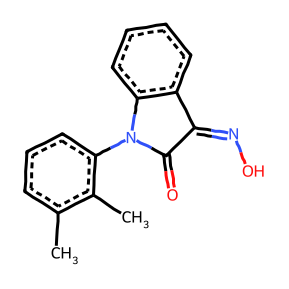 Cc1cccc(N2C(=O)C(=NO)c3ccccc32)c1C